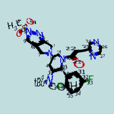 CC(C)(C)N(C(=O)O)[C@H]1C[C@@H](N2Cc3cn(S(C)(=O)=O)nc3C2)CN(C(=O)Cc2cnccn2)[C@H]1c1cc(F)ccc1F